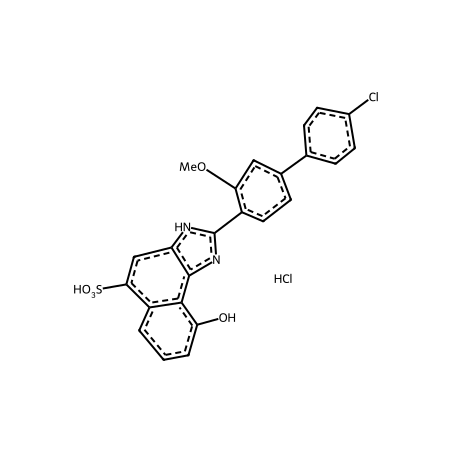 COc1cc(-c2ccc(Cl)cc2)ccc1-c1nc2c(cc(S(=O)(=O)O)c3cccc(O)c32)[nH]1.Cl